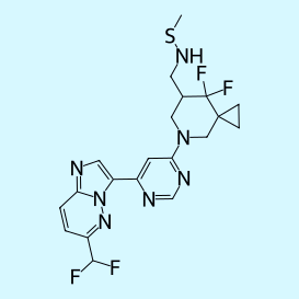 CSNCC1CN(c2cc(-c3cnc4ccc(C(F)F)nn34)ncn2)CC2(CC2)C1(F)F